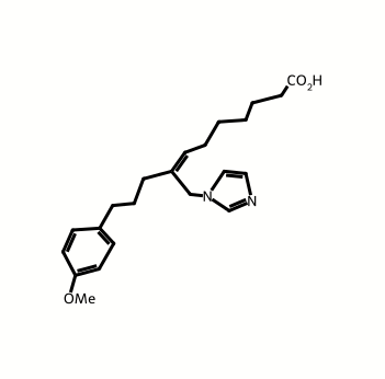 COc1ccc(CCCC(=CCCCCCC(=O)O)Cn2ccnc2)cc1